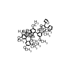 COc1cc(-c2cc(OC)cc(C(C)(C)C)c2Op2oc3c(C(C)(C)C)cc(OC)cc3c3cc(OC)cc(C(C)(C)C)c3o2)c(OP2OC(c3ccco3)=C(c3ccco3)O2)c(C(C)(C)C)c1